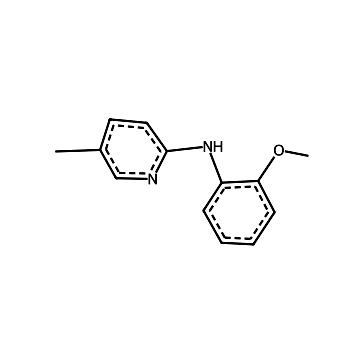 COc1ccccc1Nc1ccc(C)cn1